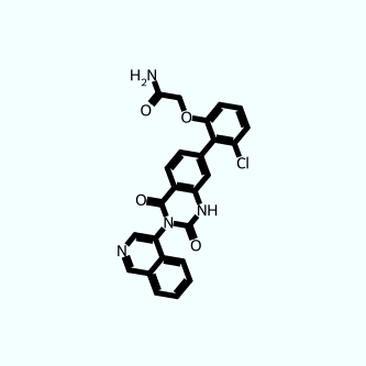 NC(=O)COc1cccc(Cl)c1-c1ccc2c(=O)n(-c3cncc4ccccc34)c(=O)[nH]c2c1